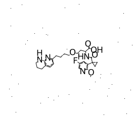 COc1ncc(F)cc1C1(C(=O)NC(CCOCCCCc2ccc3c(n2)NCCC3)C(=O)O)CC1